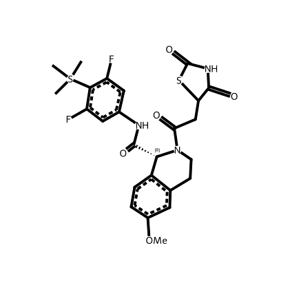 COc1ccc2c(c1)CCN(C(=O)CC1SC(=O)NC1=O)[C@H]2C(=O)Nc1cc(F)c(S(C)(C)C)c(F)c1